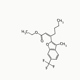 CCCC/C(=C/C(=O)OCC)c1oc2cc(C(F)(F)F)ccc2c1C